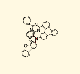 c1ccc(-c2nc(-c3ccccc3)nc(-c3cccc4c5ccccc5c5ccc(-n6c7ccccc7c7c8oc9ccccc9c8ccc76)cc5c34)n2)cc1